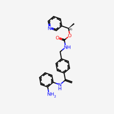 C=C(Nc1ccccc1N)c1ccc(CNC(=O)O[C@H](C)c2cccnc2)cc1